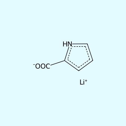 O=C([O-])c1ccc[nH]1.[Li+]